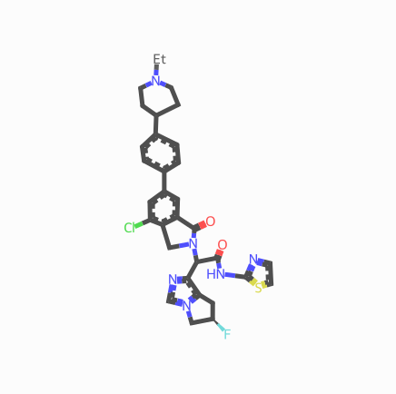 CCN1CCC(c2ccc(-c3cc(Cl)c4c(c3)C(=O)N(C(C(=O)Nc3nccs3)c3ncn5c3C[C@@H](F)C5)C4)cc2)CC1